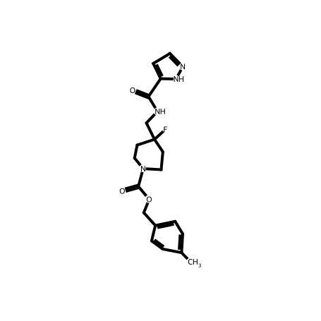 Cc1ccc(COC(=O)N2CCC(F)(CNC(=O)c3ccn[nH]3)CC2)cc1